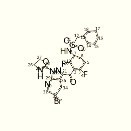 O=C(c1c(F)ccc(NS(=O)(=O)Cc2ccccc2)c1F)c1nn(C2NCCO2)c2ncc(Br)cc12